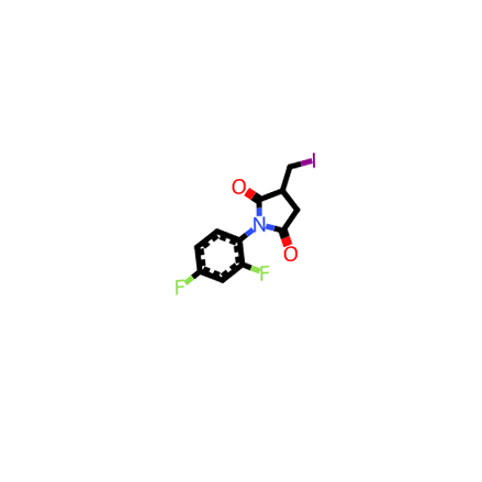 O=C1CC(CI)C(=O)N1c1ccc(F)cc1F